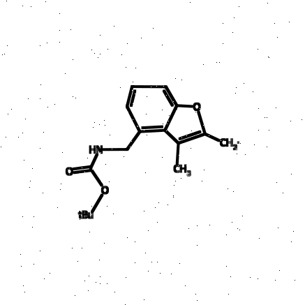 [CH2]c1oc2cccc(CNC(=O)OC(C)(C)C)c2c1C